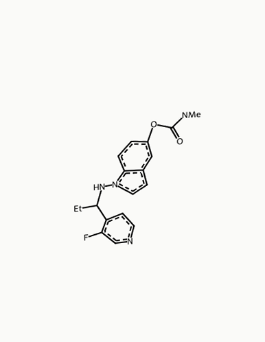 CCC(Nn1ccc2cc(OC(=O)NC)ccc21)c1ccncc1F